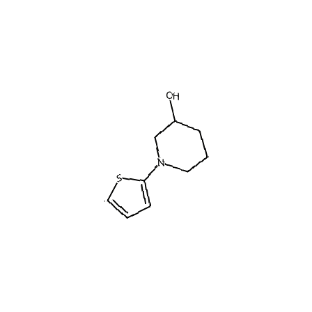 OC1CCCN(c2cc[c]s2)C1